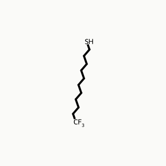 FC(F)(F)CCCCCCCCCCS